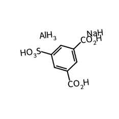 O=C(O)c1cc(C(=O)O)cc(S(=O)(=O)O)c1.[AlH3].[NaH]